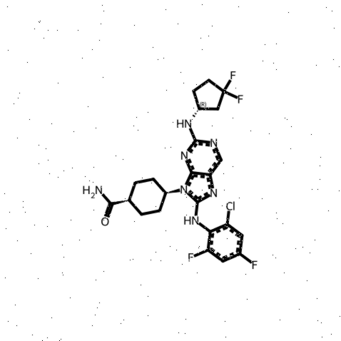 NC(=O)[C@H]1CC[C@@H](n2c(Nc3c(F)cc(F)cc3Cl)nc3cnc(N[C@@H]4CCC(F)(F)C4)nc32)CC1